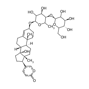 CC1O[C@@H](O[C@@H]2C=C3CC[C@@H]4[C@H](CC[C@]5(C)[C@@H](c6ccc(=O)oc6)CC[C@]45O)[C@@]3(C)CC2)C(O)[C@@H](O)[C@H]1O[C@@H]1OC(CO)[C@@H](O)[C@H](O)C1O